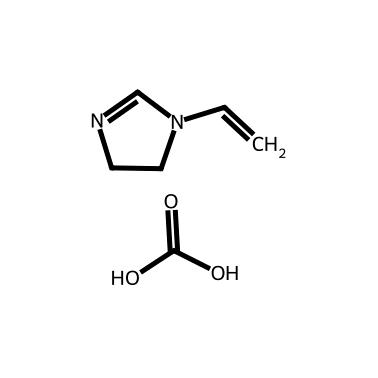 C=CN1C=NCC1.O=C(O)O